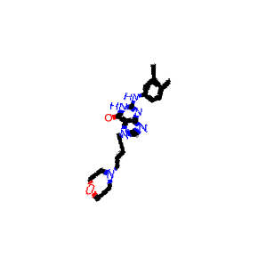 Cc1ccc(Nc2nc3ncn(CCCCN4CCOCC4)c3c(=O)[nH]2)cc1C